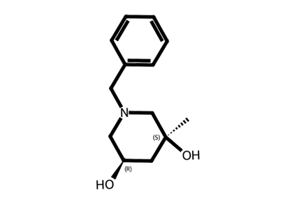 C[C@]1(O)C[C@@H](O)CN(Cc2ccccc2)C1